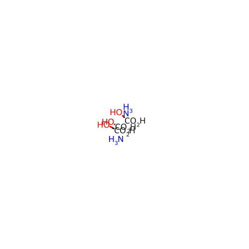 N.N.O=C(O)O.O=C(O)O.O=C(O)O